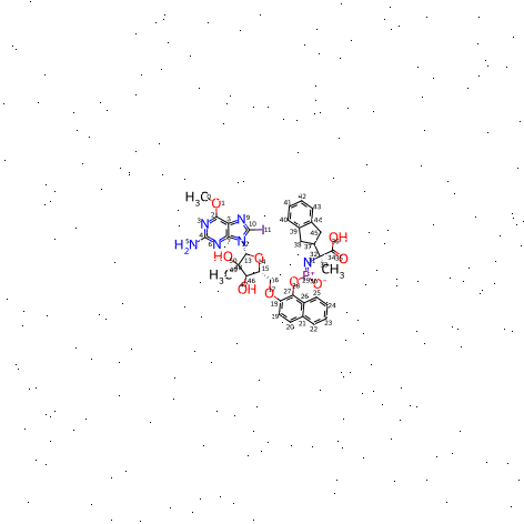 COc1nc(N)nc2c1nc(I)n2[C@@H]1O[C@H](COc2ccc3ccccc3c2O/[P+]([O-])=N/[C@](C)(C(=O)O)C2Cc3ccccc3C2)[C@@H](O)[C@@]1(C)O